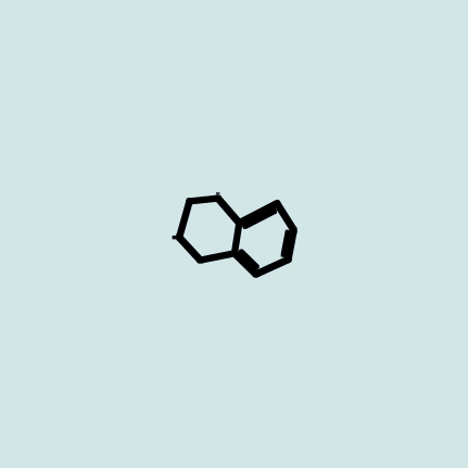 [CH]1C[CH]c2ccccc2C1